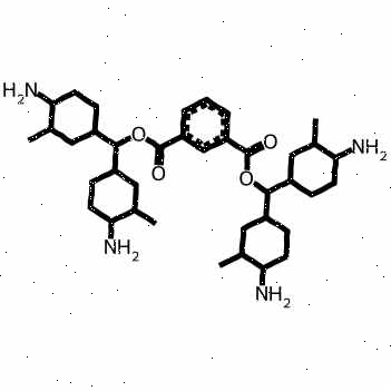 CC1CC(C(OC(=O)c2cccc(C(=O)OC(C3CCC(N)C(C)C3)C3CCC(N)C(C)C3)c2)C2CCC(N)C(C)C2)CCC1N